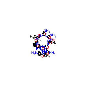 CC(C)C[C@@H]1NC(=O)[C@@H](Cc2ccccc2)NC(=O)[C@H](CCN)NC(=O)[C@@H](NC(=O)[C@H](CCN)NC(=O)[C@H](C)NC(=O)C2CCC(N)CC2)CCNC(=O)[C@H](C(C)O)NC(=O)[C@H](CCN)NC(=O)[C@H](CCCN)NC1=O